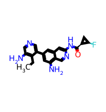 CCc1c(N)cncc1-c1cc(N)c2cnc(NC(=O)[C@H]3C[C@H]3F)cc2c1